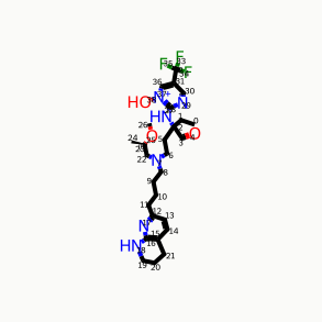 CCC(C=O)(CCN(CCCCc1ccc2c(n1)NCCC2)C[C@@H](C)OC)Nc1ncc(C(F)(F)F)c[n+]1O